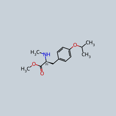 CN[C@@H](Cc1ccc(OC(C)C)cc1)C(=O)OC